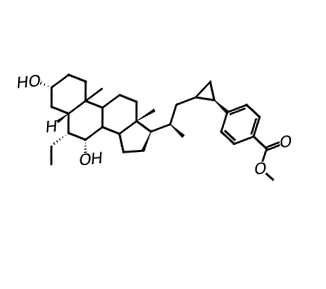 CC[C@H]1[C@@H](O)C2C(CC[C@@]3(C)C2CC[C@@H]3[C@H](C)CC2C[C@H]2c2ccc(C(=O)OC)cc2)C2(C)CC[C@@H](O)C[C@@H]12